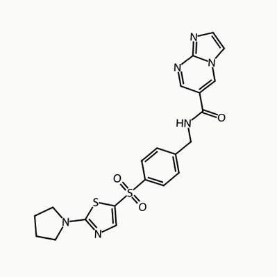 O=C(NCc1ccc(S(=O)(=O)c2cnc(N3CCCC3)s2)cc1)c1cnc2nccn2c1